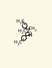 CN1CCC(C#N)(CC(=O)N(C)C2(C)CCN(C)CC2)CC1